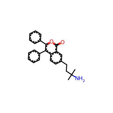 CC(C)(N)CCc1ccc2c(-c3ccccc3)c(-c3ccccc3)oc(=O)c2c1